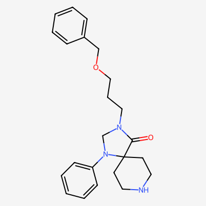 O=C1N(CCCOCc2ccccc2)CN(c2ccccc2)C12CCNCC2